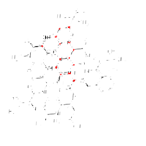 CC(C)C[C@H](NC(=O)CNC(=O)[C@H](Cc1ccccc1)N(C)C(=O)[C@H](C)NC(=O)[C@H](Cc1ccccc1)NC(=O)OC(C)(C)C)C(=O)N[C@@H](C)C(=O)N[C@H](C(=O)N[C@@H](Cc1ccccc1)C(=O)N[C@@H](CC(=O)O)C(=O)N(C)[C@@H](C)C(=O)N[C@@H](COC(C)(C)C)C(=O)NCC(N)=O)C(C)C